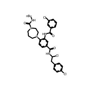 CCCCNC(=O)N1CCCN(c2ccc(C(=O)NC(Cl)Cc3ccc(Cl)cc3)cc2NC(=O)c2cccc(Cl)c2)CC1